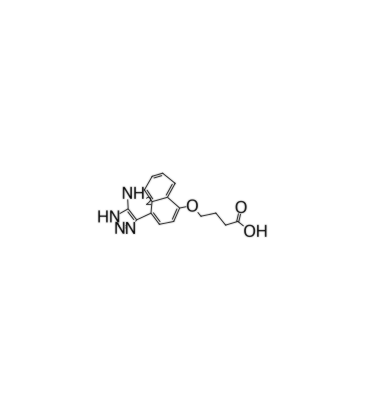 Nc1[nH]nnc1-c1ccc(OCCCC(=O)O)c2ccccc12